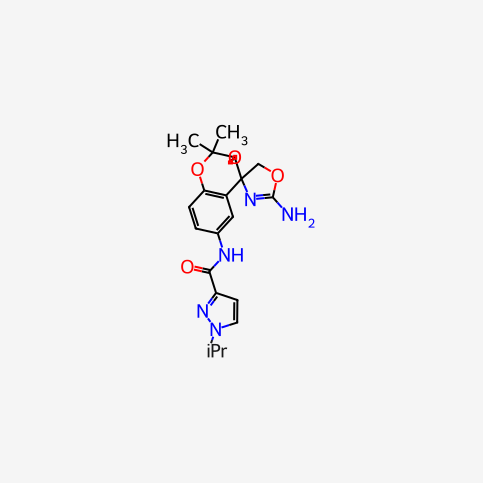 CC(C)n1ccc(C(=O)Nc2ccc3c(c2)C2(COC(N)=N2)C2(COC2)C(C)(C)O3)n1